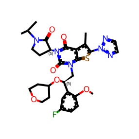 COc1ccc(F)cc1[C@H](Cn1c(=O)n([C@H]2CCN(C(C)C)C2=O)c(=O)c2c(C)c(-n3nccn3)sc21)OC1CCOCC1